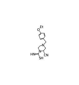 CCOc1ccc(CN2CCN(C(=N)S)C(C#N)C2)cc1